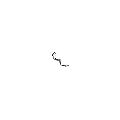 CCCN=NN=O